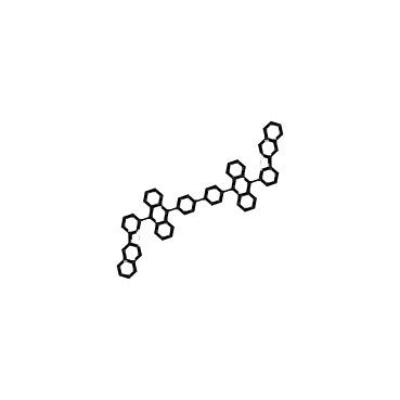 c1ccc2cc3c(cc2c1)oc1c(-c2c4ccccc4c(-c4ccc(-c5ccc(-c6c7ccccc7c(-c7cccc8c7oc7cc9ccccc9cc78)c7ccccc67)cc5)cc4)c4ccccc24)cccc13